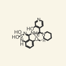 NC1=NS(O)(O)Nc2cccc(OC[C@H]3CCCCN3C(=O)c3ccncc3O)c21